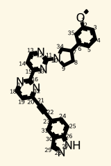 COc1cccc(C2CCN(c3nccc(-c4nccc(C#Cc5ccc6[nH]ncc6c5)n4)n3)C2)c1